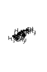 CN(C)CCCCCN(Cc1ccc(C(=O)Nc2ccccc2NC(=O)OC(C)(C)C)nc1)C(=O)Nc1cccc(F)c1